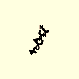 C=C(C#N)/N=C(\CC)N1CCC(OCC2(C)CC2)C2CC21